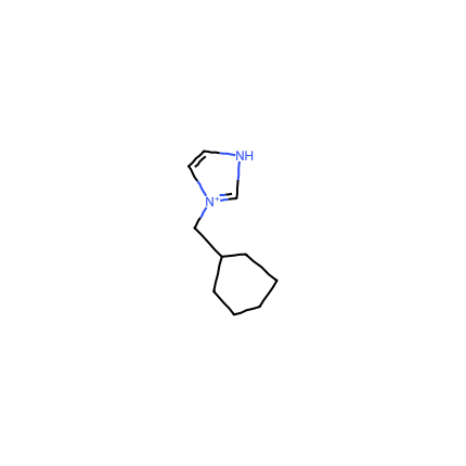 c1c[n+](CC2CCCCC2)c[nH]1